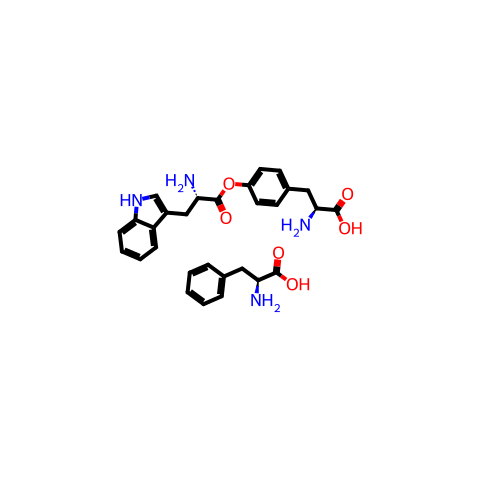 N[C@@H](Cc1ccc(OC(=O)[C@@H](N)Cc2c[nH]c3ccccc23)cc1)C(=O)O.N[C@@H](Cc1ccccc1)C(=O)O